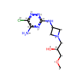 COC[C@@H](O)CN1CC(Nc2nnc(Cl)c(N)n2)C1